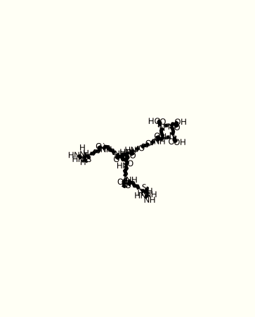 COC(=O)[C@H](CCCCNC(=O)c1cc(NC(=O)NCCOCCOCCNC(=O)CN2CCN(CC(=O)O)CCN(CC(=O)O)CCN(CC(=O)O)CC2)cc(C(=O)NCCCC[C@@H](C)NC(=O)CCCC[C@@H]2SC[C@@H]3NC(=N)N[C@@H]32)c1)NC(=O)CCCC[C@@H]1SC[C@@H]2NC(=N)N[C@@H]21